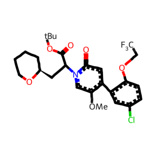 COc1cn(C(C[C@@H]2CCCCO2)C(=O)OC(C)(C)C)c(=O)cc1-c1cc(Cl)ccc1OCC(F)(F)F